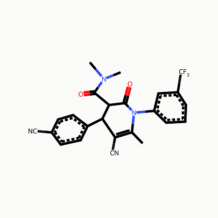 CC1=C(C#N)C(c2ccc(C#N)cc2)C(C(=O)N(C)C)C(=O)N1c1cccc(C(F)(F)F)c1